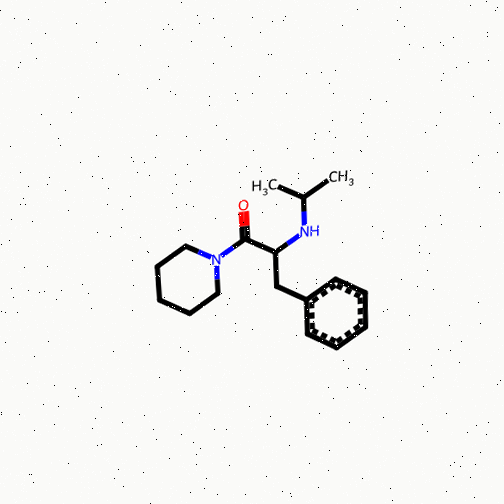 CC(C)NC(Cc1ccccc1)C(=O)N1CCCCC1